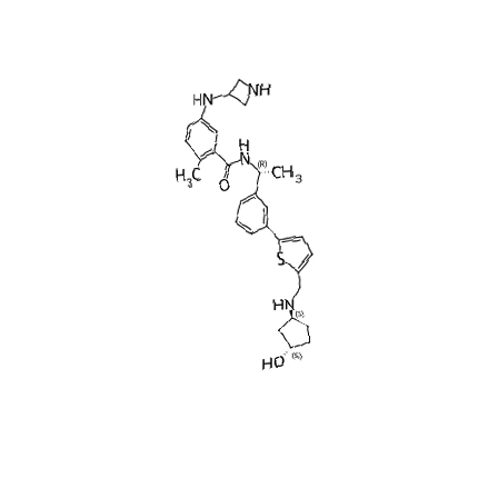 Cc1ccc(NC2CNC2)cc1C(=O)N[C@H](C)c1cccc(-c2ccc(CN[C@H]3CC[C@H](O)C3)s2)c1